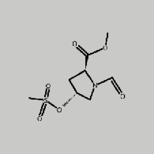 COC(=O)[C@@H]1C[C@@H](OS(C)(=O)=O)CN1C=O